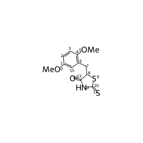 COc1ccc(OC)c(CC2SC(=S)NC2=O)c1